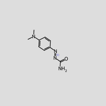 CN(C)c1ccc(/N=N/C(N)=O)cc1